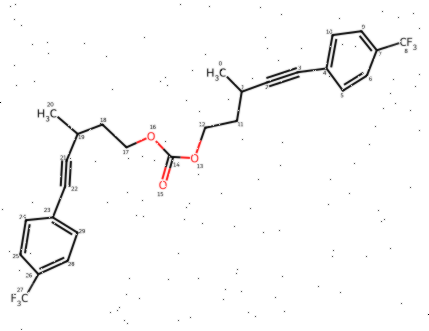 CC(C#Cc1ccc(C(F)(F)F)cc1)CCOC(=O)OCCC(C)C#Cc1ccc(C(F)(F)F)cc1